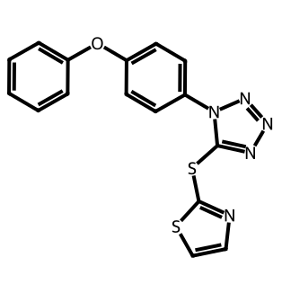 c1ccc(Oc2ccc(-n3nnnc3Sc3nccs3)cc2)cc1